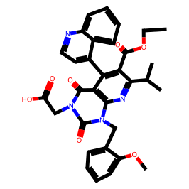 CCOC(=O)c1c(C(C)C)nc2c(c1-c1ccnc3ccccc13)c(=O)n(CC(=O)O)c(=O)n2Cc1ccccc1OC